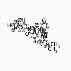 CC(C)N1CCN(c2ccc(CC(C(=O)Nc3ccc4c(c3)cc(C(=O)O)n4C(=O)O)N3CCN(c4cc(Cl)ccc4-n4cnnn4)C(=O)C3=O)cc2)C(=O)C1